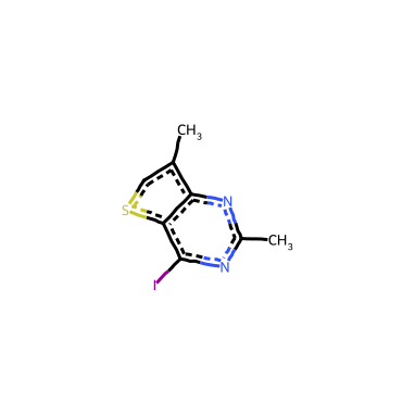 Cc1nc(I)c2scc(C)c2n1